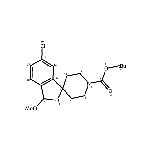 COC1OC2(CCN(C(=O)OC(C)(C)C)CC2)c2cc(Cl)ccc21